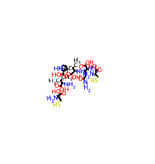 CC(C)[C@H](N)C(=O)O.CC(C)[C@H](N)C(=O)O.NC(=O)CC[C@H](N)C(=O)O.N[C@@H](CS)C(=O)O.N[C@@H](CS)C(=O)O.O=C(O)[C@@H]1CCCN1